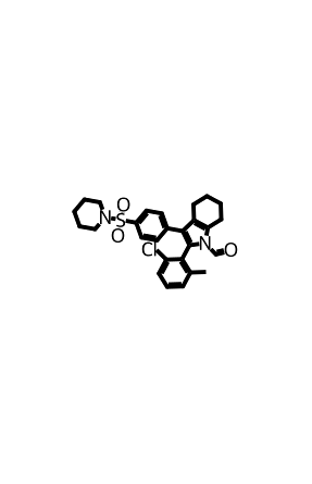 Cc1cccc(Cl)c1-c1c(-c2ccc(S(=O)(=O)N3CCCCC3)cc2)c2c(n1C=O)CCCC2